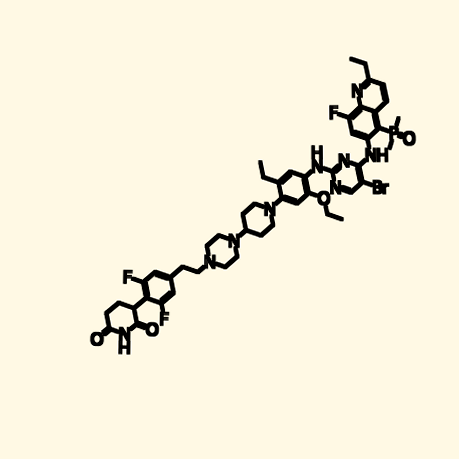 CCOc1cc(N2CCC(N3CCN(CCc4cc(F)c(C5CCC(=O)NC5=O)c(F)c4)CC3)CC2)c(CC)cc1Nc1ncc(Br)c(Nc2cc(F)c3nc(CC)ccc3c2P(C)(C)=O)n1